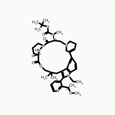 CCn1c(-c2cccnc2[C@H](C)OC)c2c3cc(ccc31)C1=CCCN(C1)C[C@H](N(C)C(=O)OC(C)(C)C)C(=O)N1CCC[C@H](N1)C(=O)OCC(C)(C)C2